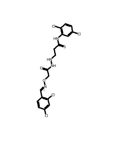 O=C(CO/N=C/c1ccc(Cl)cc1Cl)NNCCC(=S)Nc1cc(Cl)ccc1Cl